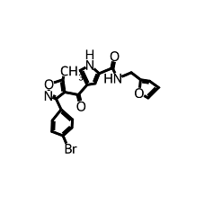 Cc1onc(-c2ccc(Br)cc2)c1C(=O)c1c[nH]c(C(=O)NCc2ccco2)c1